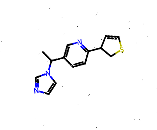 CC(c1ccc(C2C=CSC2)nc1)n1ccnc1